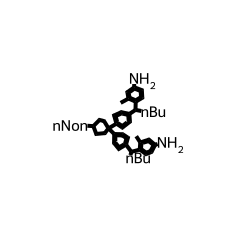 CCCCCCCCCC1CCC(c2ccc(C(CCCC)c3ccc(N)cc3C)cc2)(c2ccc(C(CCCC)c3ccc(N)cc3C)cc2)CC1